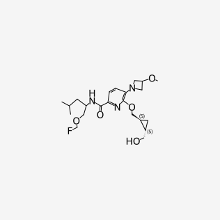 COC1CN(c2ccc(C(=O)NC(COCF)CC(C)C)nc2OC[C@H]2C[C@@H]2CO)C1